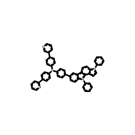 c1ccc(-n2ccc3c2ccc2c4cc(-c5ccc(N(c6ccc(-c7cccnc7)cc6)c6ccc(-c7ccccn7)cc6)cc5)ccc4n(-c4ccccc4)c23)cc1